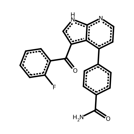 NC(=O)c1ccc(-c2ccnc3[nH]cc(C(=O)c4ccccc4F)c23)cc1